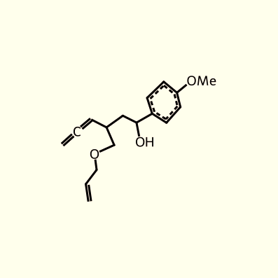 C=C=CC(COCC=C)CC(O)c1ccc(OC)cc1